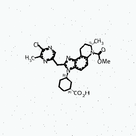 COC(=O)N1c2ccc3c(nc(Cc4cnc(Cl)c(C)n4)n3[C@@H]3CCC[C@@H](C(=O)O)C3)c2CC[C@@H]1C